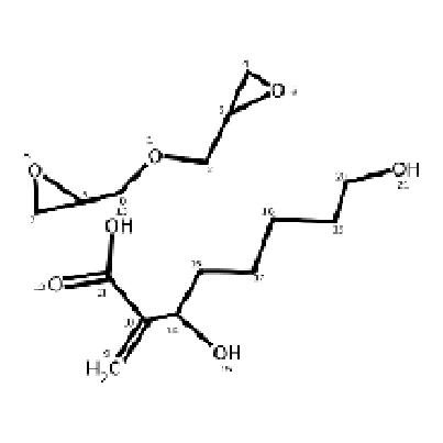 C(OCC1CO1)C1CO1.C=C(C(=O)O)C(O)CCCCCO